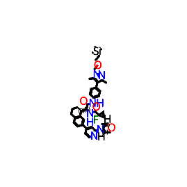 Cc1nn(COCC[Si](C)(C)C)c(C)c1-c1ccc(NC(=O)[C@@H](NC(=O)C2(F)CC2)[C@@H]2CCCc3ccc(-c4ccnc(N5C[C@@H]6C[C@H]5CO6)c4)cc32)cc1